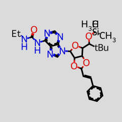 CCNC(=O)Nc1ncnc2c1ncn2C1OC(C(O[SiH](C)C)C(C)(C)C)C2OC(/C=C/c3ccccc3)OC21